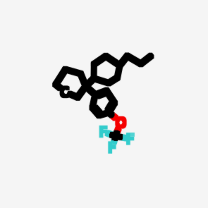 CCCC1CCC(C2(c3ccc(OC(F)(F)F)cc3)CCCCC2)CC1